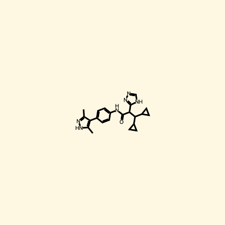 Cc1n[nH]c(C)c1-c1ccc(NC(=O)C(c2nnc[nH]2)C(C2CC2)C2CC2)cc1